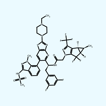 CCN1CCN(c2nc3nc([C@H](Cc4cc(F)cc(F)c4)NC(=O)Cn4nc(C(F)(F)F)c5c4C(F)(F)[C@H]4[C@H](C)[C@H]54)c(-c4cccc5c(NS(C)(=O)=O)nn(C)c45)cc3s2)CC1